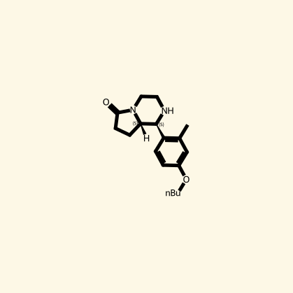 CCCCOc1ccc([C@@H]2NCCN3C(=O)CC[C@@H]23)c(C)c1